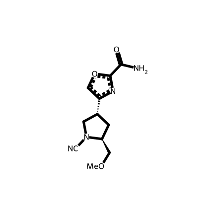 COC[C@@H]1C[C@@H](c2coc(C(N)=O)n2)CN1C#N